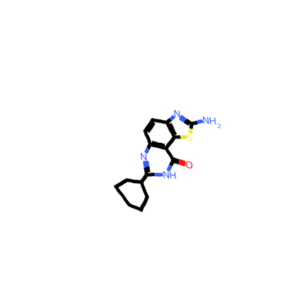 Nc1nc2ccc3nc(C4CCCCC4)[nH]c(=O)c3c2s1